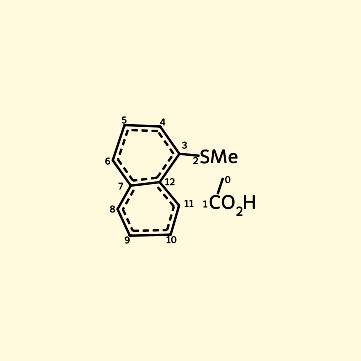 CC(=O)O.CSc1cccc2ccccc12